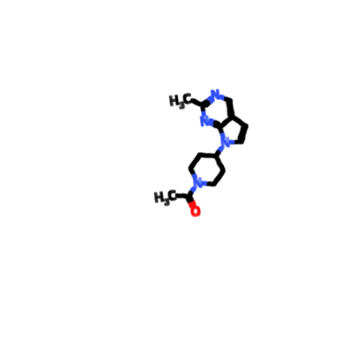 CC(=O)N1CCC(n2ccc3cnc(C)nc32)CC1